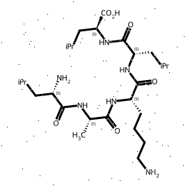 CC(C)C[C@H](NC(=O)[C@H](CC(C)C)NC(=O)[C@H](CCCCN)NC(=O)[C@H](C)NC(=O)[C@@H](N)CC(C)C)C(=O)O